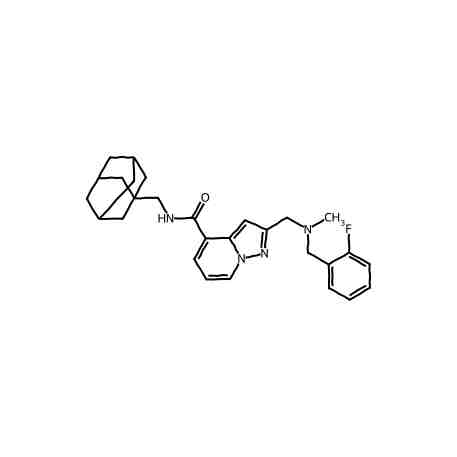 CN(Cc1cc2c(C(=O)NCC34CC5CC(CC(C5)C3)C4)cccn2n1)Cc1ccccc1F